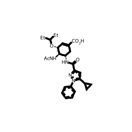 CCC(CC)O[C@@H]1C=C(C(=O)O)C[C@H](NC(=O)c2cc(C3CC3)n(-c3ccccc3)n2)[C@H]1NC(C)=O